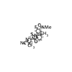 CNC(=O)c1cc2c(cc1F)N1C(=S)N(c3cnc(C#N)c(C(F)(F)F)c3)C(=O)[C@]13CCCC2(C)C3